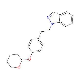 c1ccc2c(c1)cnn2CCc1ccc(OC2CCCCO2)cc1